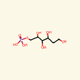 O=P(O)(O)OCC(O)C(O)C(O)CCO